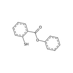 O=C(Oc1ccccc1)c1ccccc1S